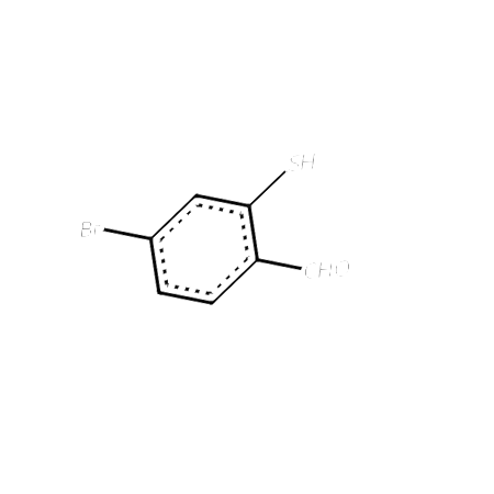 O=Cc1ccc(Br)cc1S